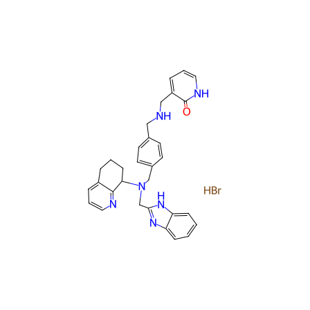 Br.O=c1[nH]cccc1CNCc1ccc(CN(Cc2nc3ccccc3[nH]2)C2CCCc3cccnc32)cc1